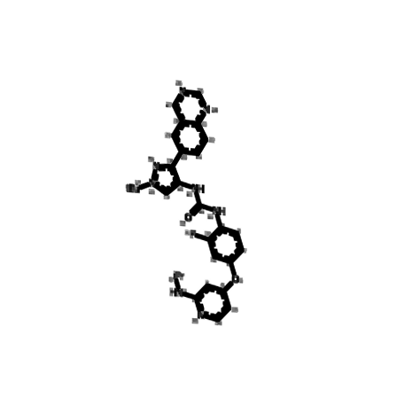 CC(C)Nc1cc(Oc2ccc(NC(=O)Nc3cn(C(C)(C)C)nc3-c3ccc4ncncc4c3)c(F)c2)ccn1